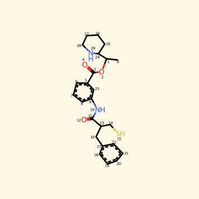 CC(OC(=O)c1cccc(NC(=O)C(CS)Cc2ccccc2)c1)C1CCCCN1